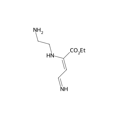 CCOC(=O)/C(=C/C=N)NCCN